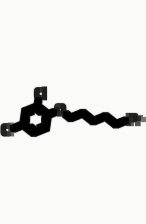 C[C](C)CCCCCOc1ccc(Cl)cc1Cl